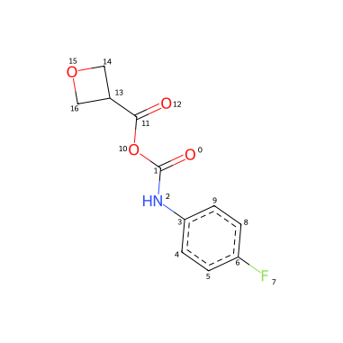 O=C(Nc1ccc(F)cc1)OC(=O)C1COC1